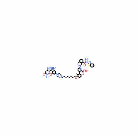 CNc1cc(N2CCN(CCCCCCCCOc3cccc(-c4ccc(N5CCc6cccc(C(=O)Nc7nc8ccccc8s7)c6C5)nc4C(=O)O)c3C)CC2)ccc1C(=N)C1CCC(=O)NC1=O